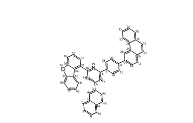 c1ccc2cc(-c3nc(-c4ccc(-c5ccc6ccc7ccccc7c6c5)cc4)nc(-c4cccc5oc6ccccc6c45)n3)ccc2c1